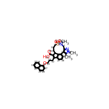 Cc1c2c(nn1C)CN(C)S(=O)(=O)CCCC1C(C(=O)O)=C(CCCOc3cccc4ccccc34)c3cccc-2c31